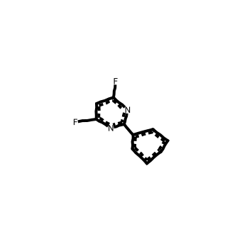 Fc1cc(F)nc(-c2ccccc2)n1